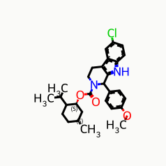 COc1ccc(C2c3[nH]c4ccc(Cl)cc4c3CCN2C(=O)O[C@H]2C[C@@H](C)CCC2C(C)C)cc1